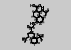 CNCCN(Cc1ncccc1C(F)(F)F)C(=O)CNc1cccc2c1CCN(C(=O)O)C2NC(C)C